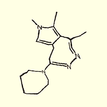 Cc1nnc(N2CCCCC2)c2cn(C)c(C)c12